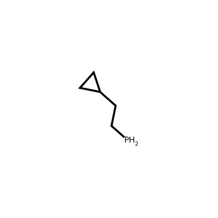 PCCC1CC1